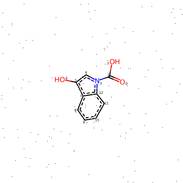 O=C(O)n1cc(O)c2ccccc21